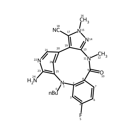 CCCCN1c2cc(F)ccc2C(=O)N(C)c2nn(C)c(C#N)c2-c2cnc(N)c1c2